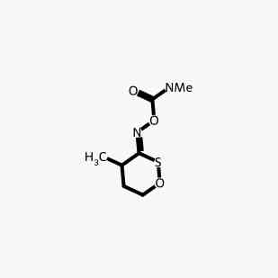 CNC(=O)ON=C1SOCCC1C